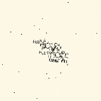 COc1cc2c(N[C@H](C)c3cccc(C(F)(F)CO)c3F)nc(C)nc2c2c1N(C)CCO2